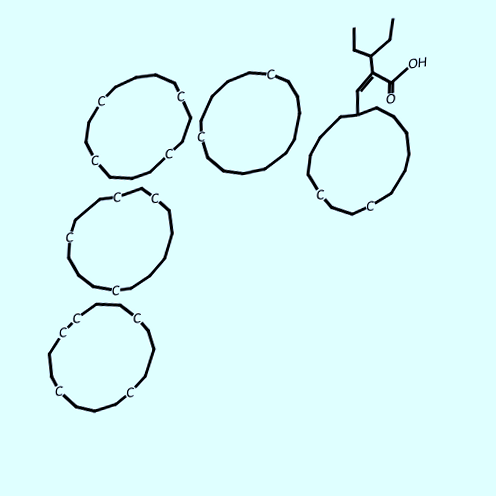 C1CCCCCCCCCCCCCC1.C1CCCCCCCCCCCCCC1.C1CCCCCCCCCCCCCC1.C1CCCCCCCCCCCCCC1.CCC(CC)C(=CC1CCCCCCCCCCCCCC1)C(=O)O